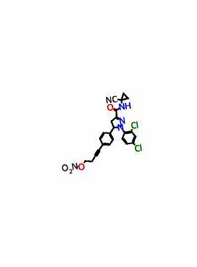 N#CC1(NC(=O)C2=NN(c3ccc(Cl)cc3Cl)C(c3ccc(C#CCCO[N+](=O)[O-])cc3)C2)CC1